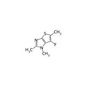 Cc1sc2nc(C)n(C)c2c1F